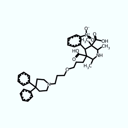 CC1NC(C)C(CCCOCCCN2CCC(c3ccccc3)(c3ccccc3)CC2)(C(=O)O)C(c2ccccc2[N+](=O)[O-])C1(C)C(=O)O